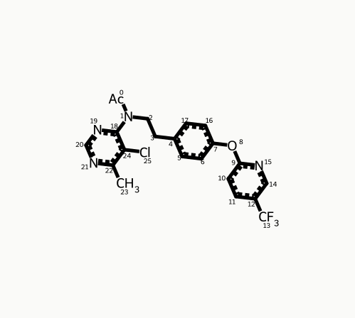 CC(=O)N(CCc1ccc(Oc2ccc(C(F)(F)F)cn2)cc1)c1ncnc(C)c1Cl